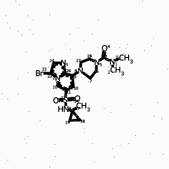 CN(C)C(=O)N1CCN(c2cc(S(=O)(=O)NC3(C)CC3)cn3c(Br)cnc23)CC1